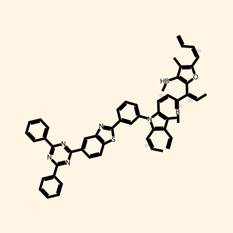 C=C/C=C\c1oc(C(=C\C)/C(=B/C)/C=C\c2c(C)c(C=C)c(/C=C\C)n2-c2cccc(-c3nc4cc(-c5nc(-c6ccccc6)nc(-c6ccccc6)n5)ccc4s3)c2)c(BC)c1C